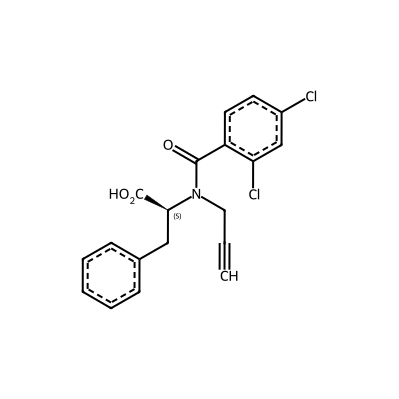 C#CCN(C(=O)c1ccc(Cl)cc1Cl)[C@@H](Cc1ccccc1)C(=O)O